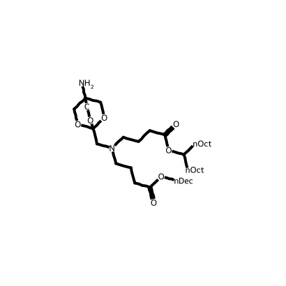 CCCCCCCCCCOC(=O)CCCN(CCCC(=O)OC(CCCCCCCC)CCCCCCCC)CC12OCC(N)(CO1)CO2